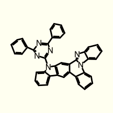 c1ccc(-c2nc(-c3ccccc3)nc(-n3c4ccccc4c4cc5c6ccccc6n6c7ccccc7nc6c5cc43)n2)cc1